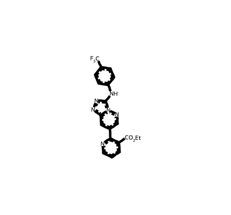 CCOC(=O)c1cccnc1-c1cnn2c(Nc3ccc(C(F)(F)F)cc3)nnc2c1